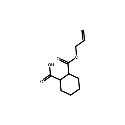 C=CCOC(=O)C1CCCCC1C(=O)O